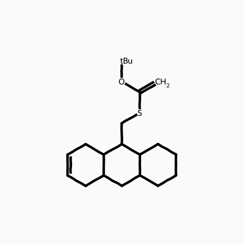 C=C(OC(C)(C)C)SCC1C2CC=CCC2CC2CCCCC21